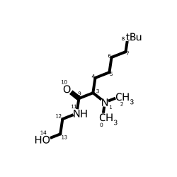 CN(C)C(CCCCC(C)(C)C)C(=O)NCCO